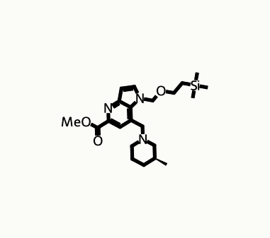 COC(=O)c1cc(CN2CCC[C@H](C)C2)c2c(ccn2COCC[Si](C)(C)C)n1